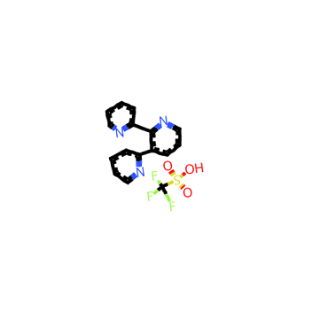 O=S(=O)(O)C(F)(F)F.c1ccc(-c2cccnc2-c2ccccn2)nc1